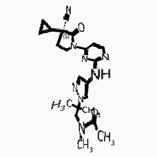 CC(=O)N(C)CC(C)(C)n1cc(Nc2nccc(N3CC[C@@](C#N)(C4CC4)C3=O)n2)cn1